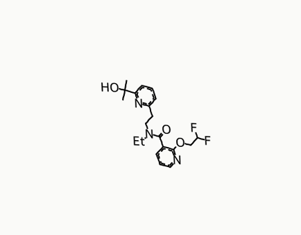 CCN(CCc1cccc(C(C)(C)O)n1)C(=O)c1cccnc1OCC(F)F